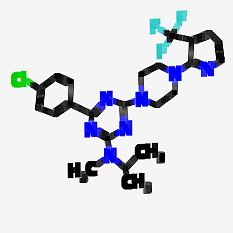 CC(C)N(C)c1nc(-c2ccc(Cl)cc2)nc(N2CCN(c3ncccc3C(F)(F)F)CC2)n1